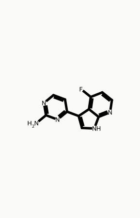 Nc1nccc(-c2c[nH]c3nccc(F)c23)n1